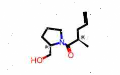 C=CC[C@@H](C)C(=O)N1CCC[C@@H]1CO